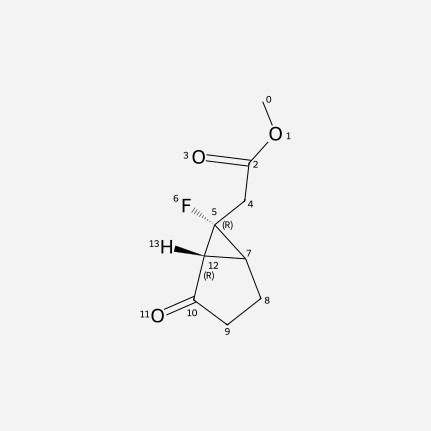 COC(=O)C[C@@]1(F)C2CCC(=O)[C@@H]21